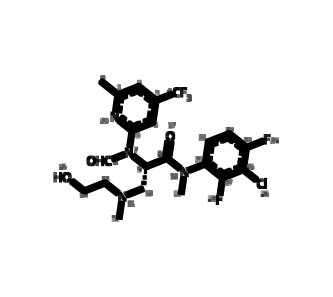 Cc1cc(C(F)(F)F)cc(N(C=O)[C@@H](CN(C)CCO)C(=O)N(C)c2ccc(F)c(Cl)c2F)n1